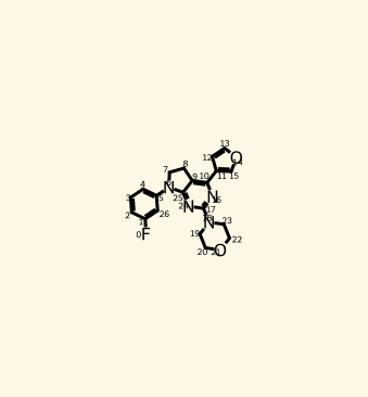 Fc1cccc(N2CCc3c(-c4ccoc4)nc(N4CCOCC4)nc32)c1